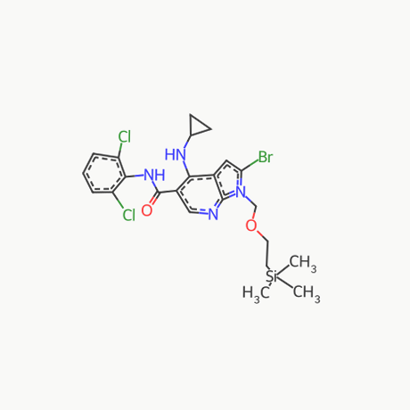 C[Si](C)(C)CCOCn1c(Br)cc2c(NC3CC3)c(C(=O)Nc3c(Cl)cccc3Cl)cnc21